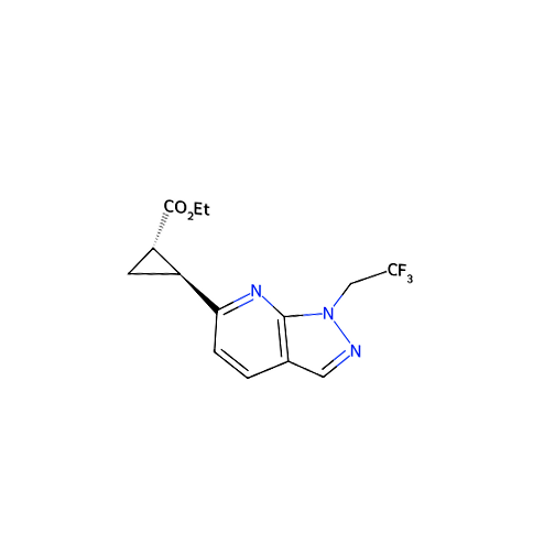 CCOC(=O)[C@H]1C[C@@H]1c1ccc2cnn(CC(F)(F)F)c2n1